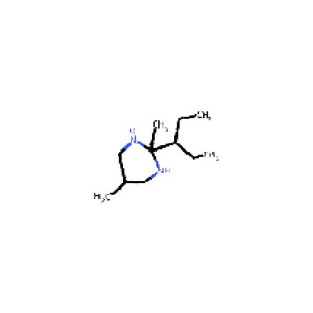 CCC(CC)C1(C)NCC(C)CN1